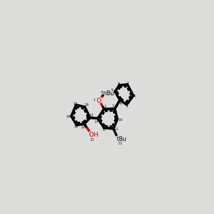 CCCCOc1c(-c2ccccc2)cc(C(C)(C)C)cc1-c1ccccc1O